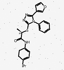 CC(C)C1=CC=C(NC(=O)[C@@H](C)Sc2nnc(-c3ccoc3)n2-c2ccccc2)CC1